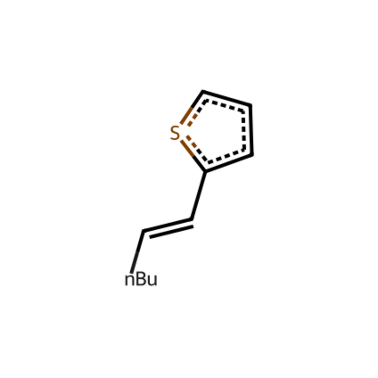 [CH2]CCCC=Cc1cccs1